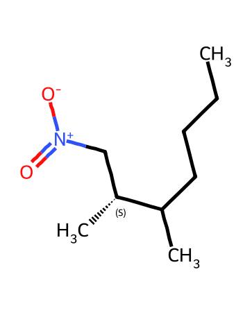 CCCCC(C)[C@H](C)C[N+](=O)[O-]